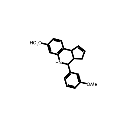 COc1cccc(C2Nc3cc(C(=O)O)ccc3C3C=CCC32)c1